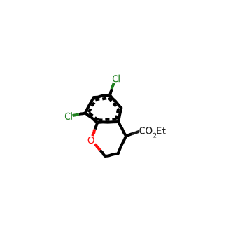 CCOC(=O)C1CCOc2c(Cl)cc(Cl)cc21